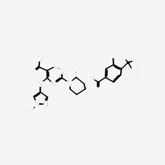 C[C@@H]1[C@H](NC(=O)c2ccc(C(C)(C)O)c(F)c2)CCCN1c1nnc(C(N)=O)c(Nc2cnn(C)c2)n1